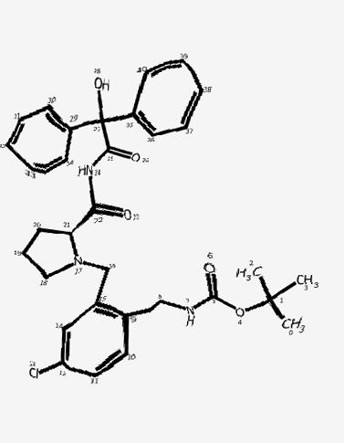 CC(C)(C)OC(=O)NCc1ccc(Cl)cc1CN1CCC[C@H]1C(=O)NC(=O)C(O)(c1ccccc1)c1ccccc1